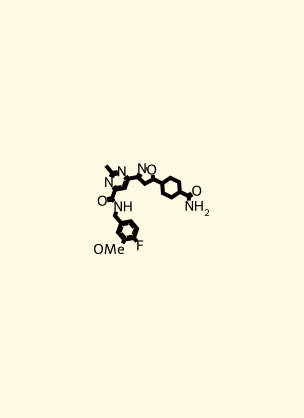 COc1cc(CNC(=O)c2cc(C3=NOC(C4CCC(C(N)=O)CC4)C3)nc(C)n2)ccc1F